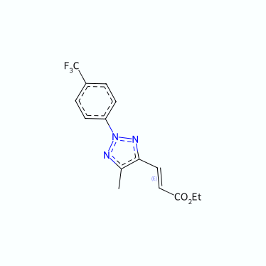 CCOC(=O)/C=C/c1nn(-c2ccc(C(F)(F)F)cc2)nc1C